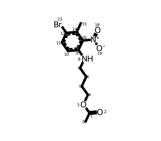 CC(=O)OCCCCNc1ccc(Br)c(C)c1[N+](=O)[O-]